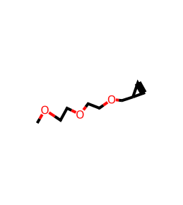 COCCOCCOCC1C#C1